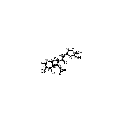 Cc1nc2sc(C(=O)NC3CCS(O)(O)C3)c(C3CC3)c2c(C)c1Cl